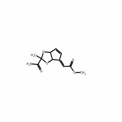 COC(=O)/C=C1\C=CC2OC(C)(C(N)=O)OC12